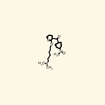 CN(C)CCCCCCOc1ncccc1C(=O)c1ccc([S+](C)[O-])cc1